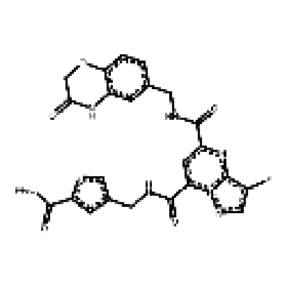 COC(=O)c1cc(CNC(=O)c2cc(C(=O)NCc3ccc4c(c3)NC(=O)CO4)nc3c(F)cnn23)cs1